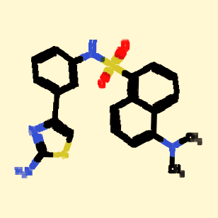 CN(C)c1cccc2c(S(=O)(=O)Nc3cccc(-c4csc(N)n4)c3)cccc12